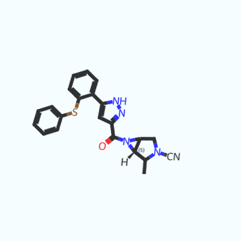 CC1[C@H]2C(CN1C#N)N2C(=O)c1cc(-c2ccccc2Sc2ccccc2)[nH]n1